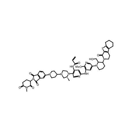 C=CC(=O)Nc1cc(Nc2cc(N3CCCC(N4CCc5c(sc6c5CCCC6)C4=O)C3CO)cnc2OC)ncc1N1CCN(C2CCN(c3ccc4c(c3)C(=O)N(C3CCC(=O)N(C)C3=O)C4=O)CC2)C[C@@H]1C